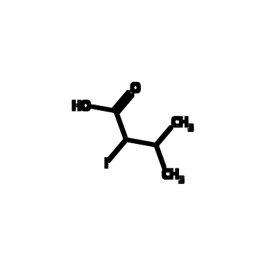 CC(C)C(I)C(=O)O